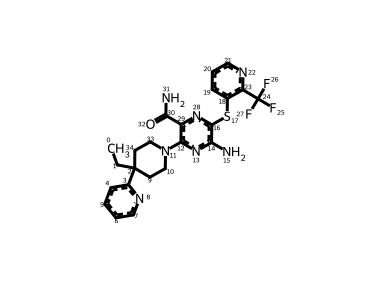 CCC1(c2ccccn2)CCN(c2nc(N)c(Sc3cccnc3C(F)(F)F)nc2C(N)=O)CC1